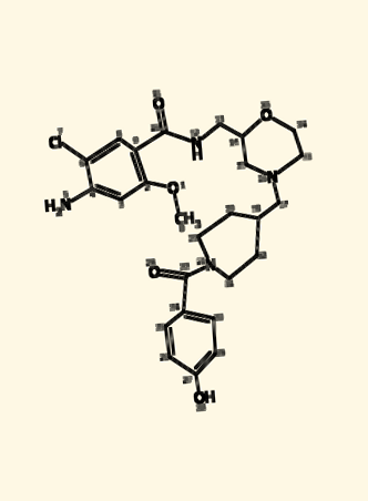 COc1cc(N)c(Cl)cc1C(=O)NCC1CN(CC2CCN(C(=O)c3ccc(O)cc3)CC2)CCO1